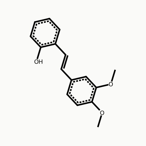 COc1ccc(/C=C/c2ccccc2O)cc1OC